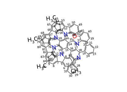 Cc1ccc2c(c1)c1ccccc1n2-c1c(-c2cc(-c3ccccc3)nc(-c3ccccc3)c2)c(-c2nc3ccccc3o2)c(-n2c3ccccc3c3cc(C)ccc32)c(-n2c3ccccc3c3cc(C)ccc32)c1-n1c2ccccc2c2cc(C)ccc21